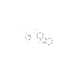 CC(c1ccc2c(c1)[nH]c1ccccc12)c1cncn1C